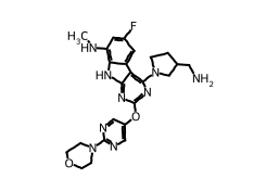 CNc1cc(F)cc2c1[nH]c1nc(Oc3cnc(N4CCOCC4)nc3)nc(N3CCC(CN)C3)c12